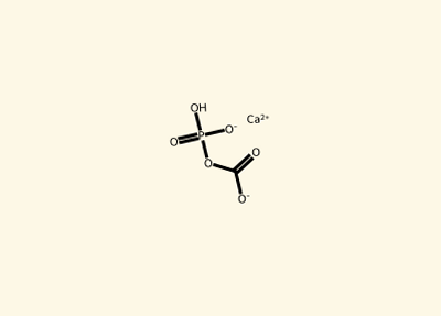 O=C([O-])OP(=O)([O-])O.[Ca+2]